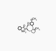 COc1ccc2c3c1OC(C3)/C(OC(=O)c1ccccc1N)=C\CC1CCCN(C)C1C2